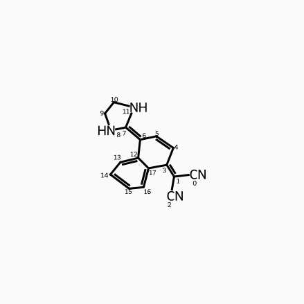 N#CC(C#N)=c1ccc(=C2NCCN2)c2ccccc12